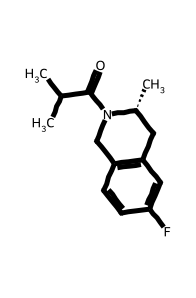 CC(C)C(=O)N1Cc2ccc(F)cc2C[C@H]1C